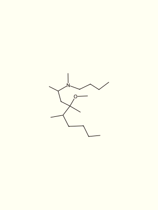 CCCCC(C)C(C)(CC(C)N(C)CCCC)OC